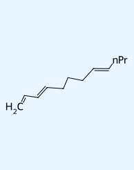 C=CC=CCCCC=CCCC